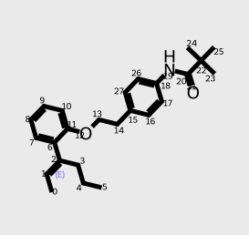 C/C=C(\CCC)c1ccccc1OCCc1ccc(NC(=O)C(C)(C)C)cc1